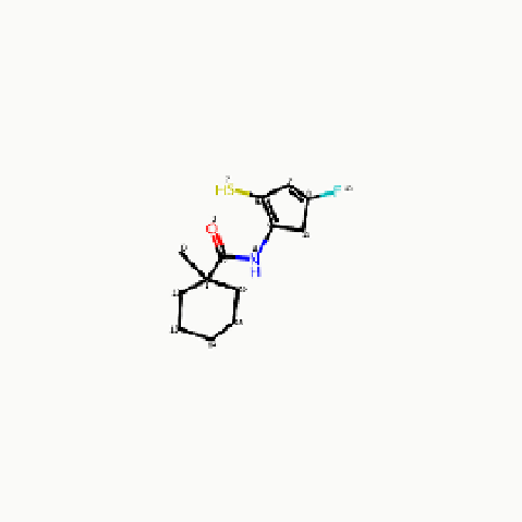 CC1(C(=O)NC2=C(S)C=C(F)C2)CCCCC1